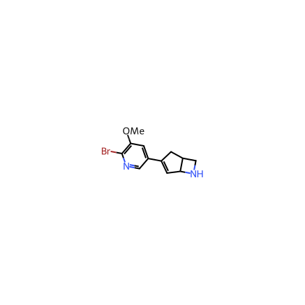 COc1cc(C2=CC3NCC3C2)cnc1Br